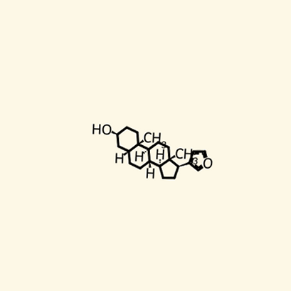 C[C@]12CC[C@H](O)C[C@H]1CC[C@@H]1[C@@H]2CC[C@]2(C)[C@@H](c3ccoc3)CC[C@@H]12